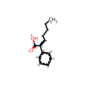 CCCC/C=C(\C(=O)O)c1ccccc1